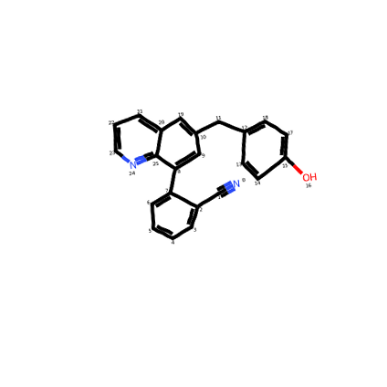 N#Cc1ccccc1-c1cc(Cc2ccc(O)cc2)cc2cccnc12